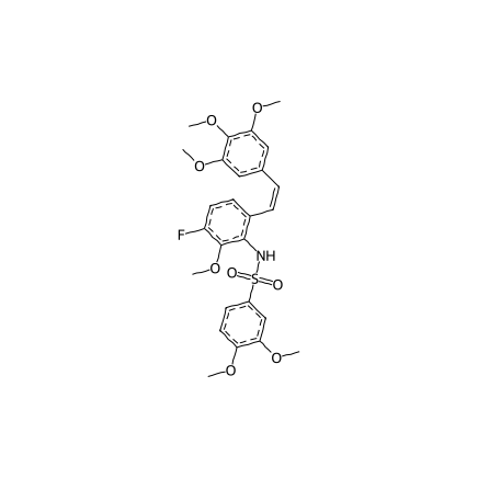 COc1ccc(S(=O)(=O)Nc2c(/C=C\c3cc(OC)c(OC)c(OC)c3)ccc(F)c2OC)cc1OC